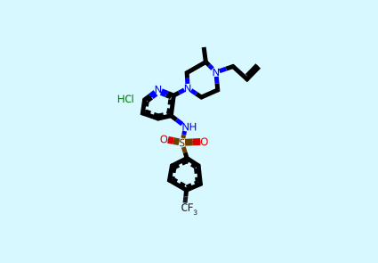 C=CCN1CCN(c2ncccc2NS(=O)(=O)c2ccc(C(F)(F)F)cc2)CC1C.Cl